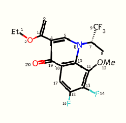 C=C(OCC)c1cn([C@@H](C)C(F)(F)F)c2c(OC)c(F)c(F)cc2c1=O